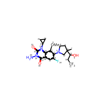 COc1c(N2CCC(C)(C(O)CC(F)(F)F)C2)c(F)cc2c(=O)n(N)c(=O)n(C3CC3)c12